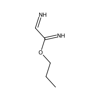 CCCOC(=N)C=N